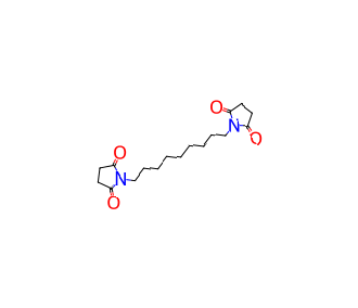 O=C1CCC(=O)N1CCCCCCCCCN1C(=O)CCC1=O